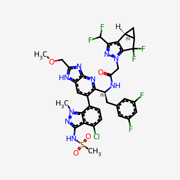 COCc1nc2nc([C@H](Cc3cc(F)cc(F)c3)NC(=O)Cn3nc(C(F)F)c4c3C(F)(F)C3C[C@H]43)c(-c3ccc(Cl)c4c(NS(C)(=O)=O)nn(C)c34)cc2[nH]1